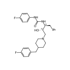 CC(C)C[C@H](NC(=O)Nc1ccc(F)cc1)[C@@H](O)CN1CCC(Cc2ccc(F)cc2)CC1